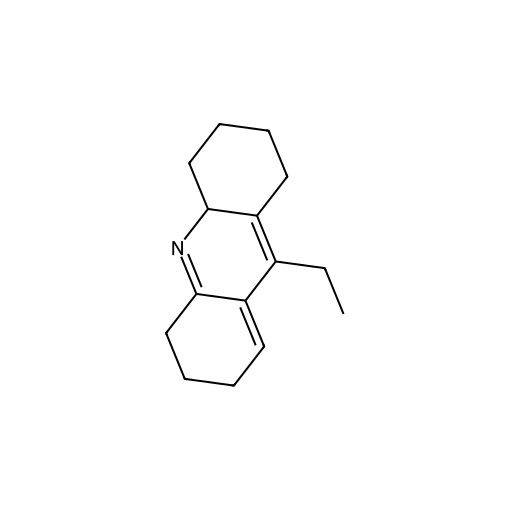 CCC1=C2CCCCC2N=C2CCCC=C21